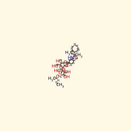 CCCC(C)OCC1OC(CO)(OC2OC(CO)C(O)C3OB(c4cccc(NC(=O)C(C)(CC)C5CCCCCCCC5)c4)OC23)C(O)C1O